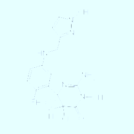 CN1C(=O)C(C)(C)[C@@](C)(c2cc(NCc3ccn(C)n3)ccc2F)N=C1N